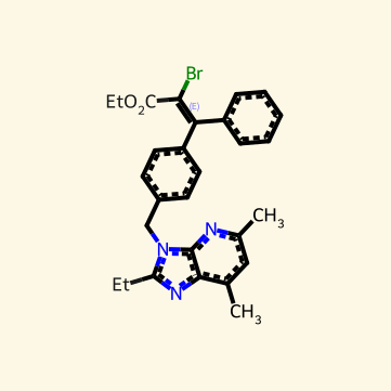 CCOC(=O)/C(Br)=C(/c1ccccc1)c1ccc(Cn2c(CC)nc3c(C)cc(C)nc32)cc1